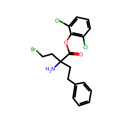 NC(CCBr)(CCc1ccccc1)C(=O)Oc1c(Cl)cccc1Cl